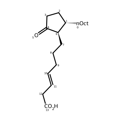 CCCCCCCC[C@H]1CCC(=O)[C@@H]1CCCC=CCC(=O)O